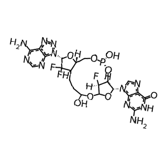 Nc1nc2c(ncn2[C@@H]2OC3OC(O)CC[C@@H]4[C@@H](COP(O)O[C@@H]2[C@@H]3F)O[C@@H](n2nnc3c(N)ncnc32)C4(F)F)c(=O)[nH]1